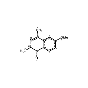 [2H]N1c2ccc(OC)cc2C(N)=NC1C